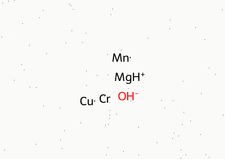 [Cr].[Cu].[MgH+].[Mn].[OH-]